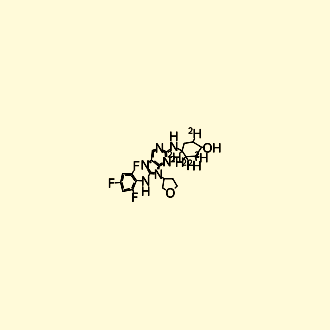 [2H]C1CC([2H])(Nc2ncc3nc(Nc4c(F)cc(F)cc4F)n(C4CCOC4)c3n2)C([2H])([2H])C([2H])([2H])C1O